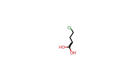 OC(O)=CCCCl